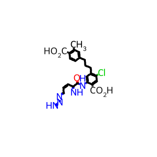 Cc1cc(CCCc2cc(NC(=O)C(=N)/C=C\C=N\N=N)c(C(=O)O)cc2Cl)ccc1C(=O)O